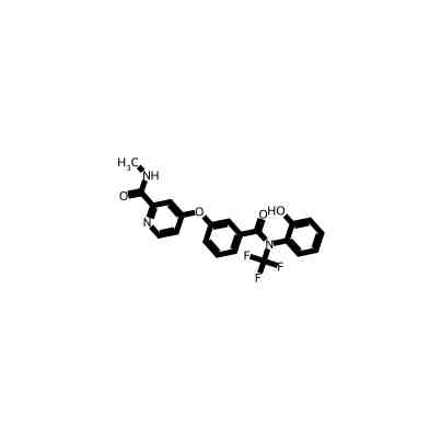 CNC(=O)c1cc(Oc2cccc(C(=O)N(c3ccccc3O)C(F)(F)F)c2)ccn1